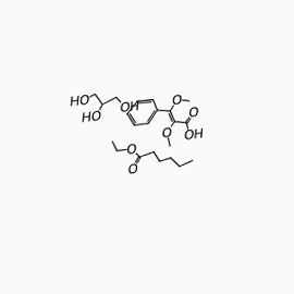 CCCCCC(=O)OCC.COC(C(=O)O)=C(OC)c1ccccc1.OCC(O)CO